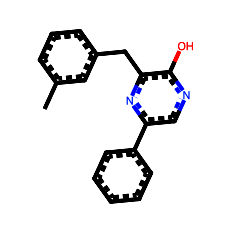 Cc1cccc(Cc2nc(-c3ccccc3)cnc2O)c1